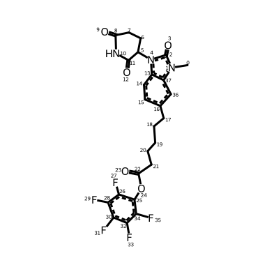 Cn1c(=O)n(C2CCC(=O)NC2=O)c2ccc(CCCCCC(=O)Oc3c(F)c(F)c(F)c(F)c3F)cc21